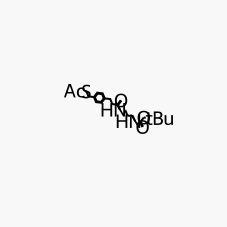 CC(=O)SCc1ccc(CCC(=O)NCCCNC(=O)OC(C)(C)C)cc1